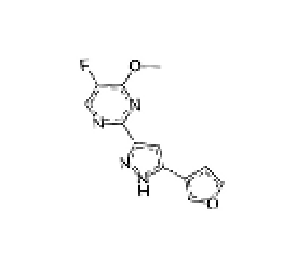 COc1nc(-c2cc(-c3ccoc3)[nH]n2)ncc1F